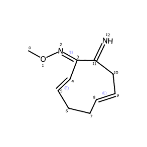 CO/N=C1\C=C\CC/C=C/CC1=N